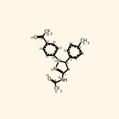 Cc1ccc(C2CC(NC(=O)C(F)(F)F)=NN2c2ccc(C(=O)C(F)(F)F)cc2)cc1